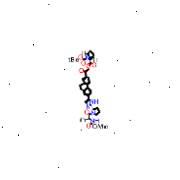 COC(=O)N[C@H](C(=O)N1CCC[C@H]1c1ncc(-c2ccc3c(c2)CCc2cc(C(=O)COC(=O)[C@@H]4[C@H]5CC[C@H](C5)N4C(=O)OC(C)(C)C)ccc2-3)[nH]1)C(C)C